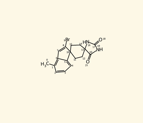 Cc1cccc2c1C=C(Br)C21CCC2(CC1)NC(=O)NC2=O